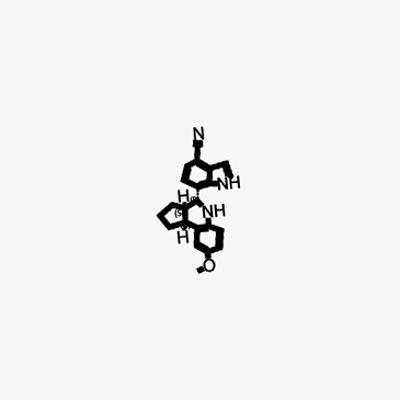 COc1ccc2c(c1)[C@@H]1CCC[C@@H]1[C@H](c1ccc(C#N)c3cc[nH]c13)N2